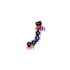 O=C(NS(=O)(=O)CC12CC3CC(CC(C3)C1)C2)c1ccc(N2CCN(Cc3ccc(-c4cccc(O)c4)c(F)c3)CC2)cc1